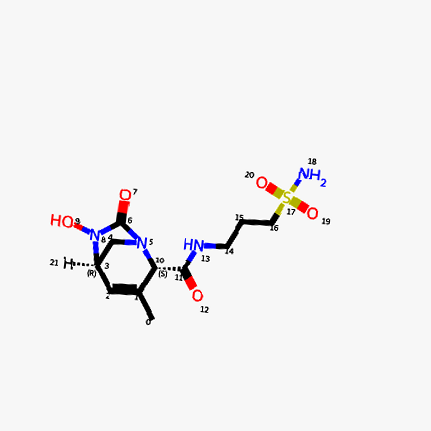 CC1=C[C@@H]2CN(C(=O)N2O)[C@@H]1C(=O)NCCCS(N)(=O)=O